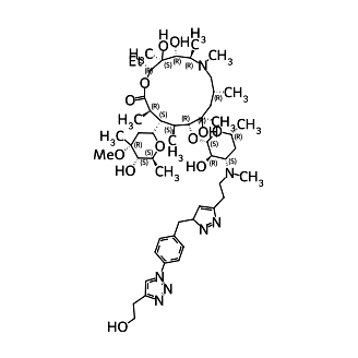 CC[C@H]1OC(=O)[C@H](C)[C@@H](C2C[C@@](C)(OC)[C@@H](O)[C@H](C)O2)[C@H](C)[C@@H](O[C@@H]2O[C@H](C)C[C@H](N(C)CCC3=CC(Cc4ccc(-n5cc(CCO)nn5)cc4)N=N3)[C@H]2O)[C@](C)(O)C[C@@H](C)CN(C)[C@H](C)[C@@H](O)[C@]1(C)O